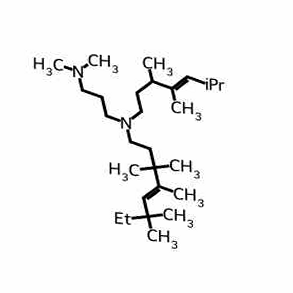 CCC(C)(C)/C=C(\C)C(C)(C)CCN(CCCN(C)C)CCC(C)/C(C)=C/C(C)C